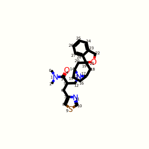 CN(C)C(=O)C(Cc1cscn1)CN1C2CCC1CC1(C2)OCc2ccccc21